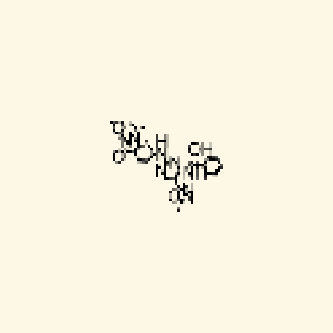 COCn1c(=O)c2ccc(Nc3ncc(-c4nnc(C)o4)c(N[C@H](CO)c4ccccc4)n3)nc2n1C(C)C